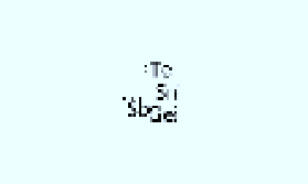 [Ge].[Sb].[Sn].[Te]